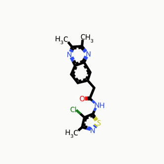 Cc1nc2ccc(CC(=O)Nc3snc(C)c3Cl)cc2nc1C